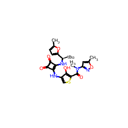 Cc1cc(N(C)C(=O)c2scc(Nc3c(N[C@@H](c4ccc(C)o4)C(C)(C)C)c(=O)c3=O)c2O)no1